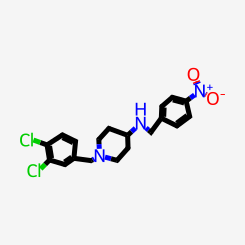 O=[N+]([O-])c1ccc(CNC2CCN(Cc3ccc(Cl)c(Cl)c3)CC2)cc1